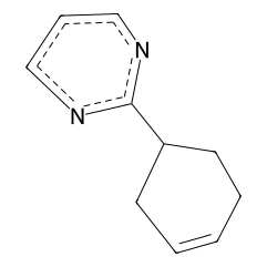 C1=CCC(c2ncccn2)CC1